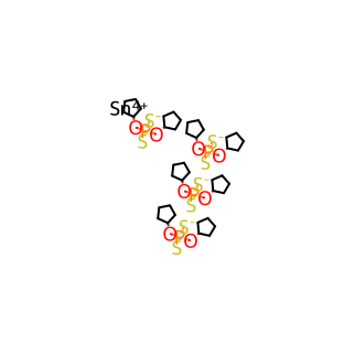 S=P([S-])(OC1CCCC1)OC1CCCC1.S=P([S-])(OC1CCCC1)OC1CCCC1.S=P([S-])(OC1CCCC1)OC1CCCC1.S=P([S-])(OC1CCCC1)OC1CCCC1.[Sn+4]